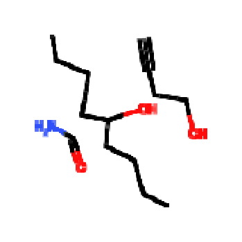 C#CCCO.CCCCC(O)CCCC.NC=O